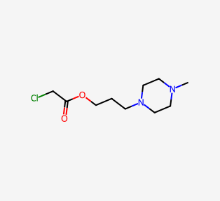 CN1CCN(CCCOC(=O)CCl)CC1